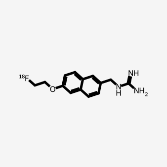 N=C(N)NCc1ccc2cc(OCC[18F])ccc2c1